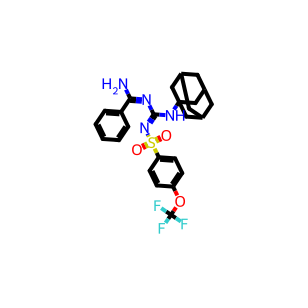 N/C(=N/C(=N/S(=O)(=O)c1ccc(OC(F)(F)F)cc1)NC12CC3CC(CC(C3)C1)C2)c1ccccc1